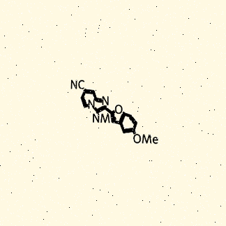 CNc1c(-c2cc3cc(OC)ccc3o2)nc2cc(C#N)ccn12